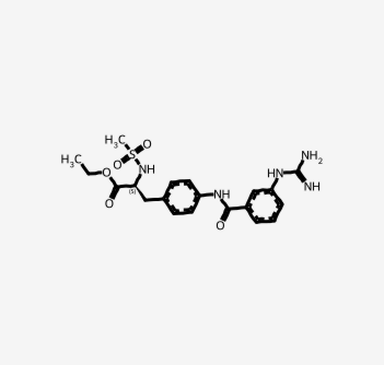 CCOC(=O)[C@H](Cc1ccc(NC(=O)c2cccc(NC(=N)N)c2)cc1)NS(C)(=O)=O